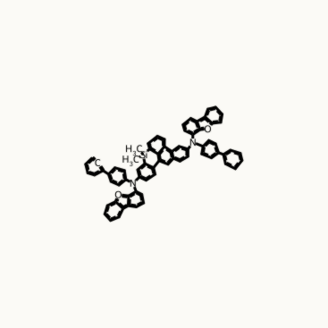 C[Si]1(C)c2cc(N(c3ccc(-c4ccccc4)cc3)c3cccc4c3oc3ccccc34)ccc2-c2cc3ccc(N(c4ccc(-c5ccccc5)cc4)c4cccc5c4oc4ccccc45)cc3c3cccc1c23